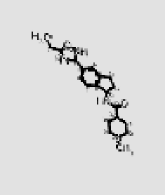 CCC1NC(c2ccc3c(c2)CC[C@H]3NC(=O)C2CCN(C)CC2)NO1